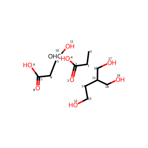 CCC(=O)O.CCC(=O)O.O=CO.OCCC(CO)CO